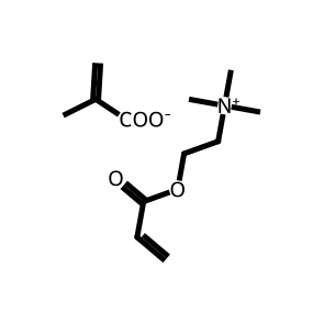 C=C(C)C(=O)[O-].C=CC(=O)OCC[N+](C)(C)C